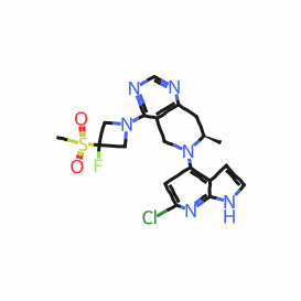 C[C@@H]1Cc2ncnc(N3CC(F)(S(C)(=O)=O)C3)c2CN1c1cc(Cl)nc2[nH]ccc12